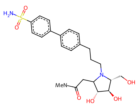 CNC(=O)CC1[C@@H](O)[C@H](O)[C@@H](CO)N1CCCc1ccc(-c2ccc(S(N)(=O)=O)cc2)cc1